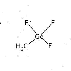 [CH3][Ge]([F])([F])[F]